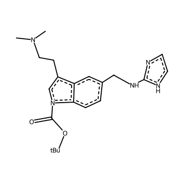 CN(C)CCc1cn(C(=O)OC(C)(C)C)c2ccc(CNc3ncc[nH]3)cc12